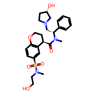 CN(C(=O)[C@@H]1CCOc2ccc(S(=O)(=O)N(C)CCO)cc21)[C@H](CN1CC[C@H](O)C1)c1ccccc1